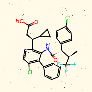 C[C@H]([C@H](C(=O)Nc1c([C@@H](CC(=O)O)C2CC2)ccc(Cl)c1-c1ccccc1)c1ccc(Cl)cc1)C(F)(F)F